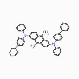 Cc1c2ccc(N(c3ccccc3)c3ccc(-c4ccccc4)cc3)cc2c(C)c2ccc(N(c3ccccc3)c3ccc(C4=CCCC=C4)cc3)cc12